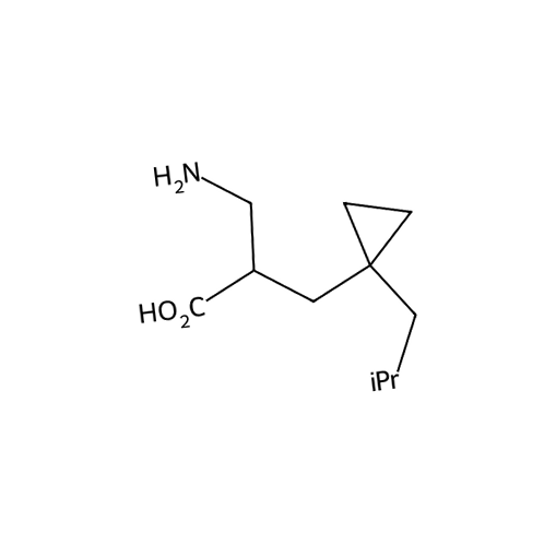 CC(C)CC1(CC(CN)C(=O)O)CC1